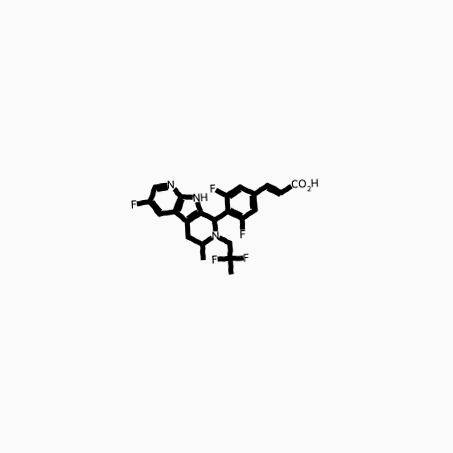 CC1Cc2c([nH]c3ncc(F)cc23)C(c2c(F)cc(/C=C/C(=O)O)cc2F)N1CC(C)(F)F